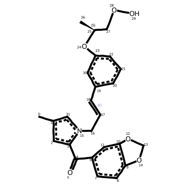 Cc1cc(C(=O)c2ccc3c(c2)OCO3)n(C/C=C/c2cccc(O[C@@H](C)COO)c2)c1